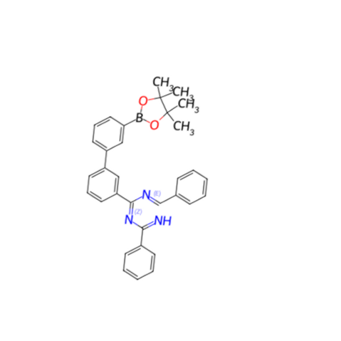 CC1(C)OB(c2cccc(-c3cccc(C(=N/C(=N)c4ccccc4)/N=C/c4ccccc4)c3)c2)OC1(C)C